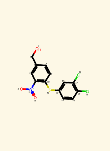 O=[N+]([O-])c1cc(CO)ccc1Sc1ccc(Cl)c(Cl)c1